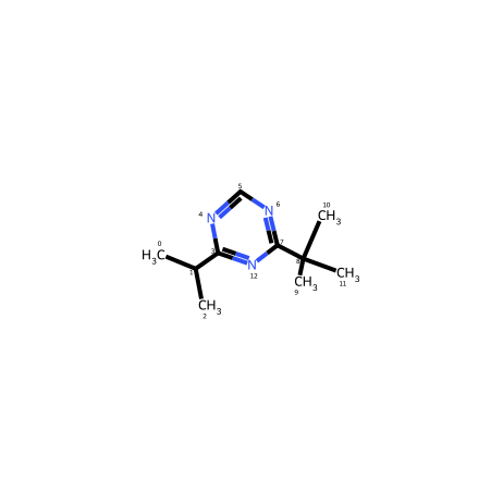 CC(C)c1ncnc(C(C)(C)C)n1